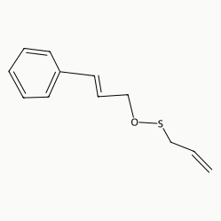 C=CCSOC/C=C/c1ccccc1